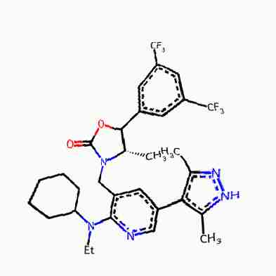 CCN(c1ncc(-c2c(C)n[nH]c2C)cc1CN1C(=O)OC(c2cc(C(F)(F)F)cc(C(F)(F)F)c2)[C@@H]1C)C1CCCCC1